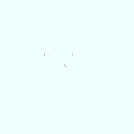 C[C@H](NC1=CCCC=C1)C(=O)O